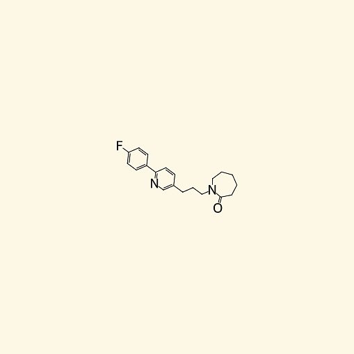 O=C1CCCCCN1CCCc1ccc(-c2ccc(F)cc2)nc1